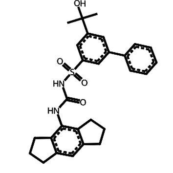 CC(C)(O)c1cc(-c2ccccc2)cc(S(=O)(=O)NC(=O)Nc2c3c(cc4c2CCC4)CCC3)c1